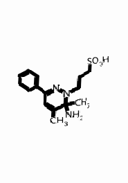 CC1=CC(c2ccccc2)=NN(CCCS(=O)(=O)O)C1(C)N